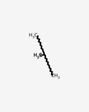 CCCCCCCCCCCCC[C](CCCCCCCCCCCC)[SiH2]C